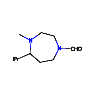 CC(C)C1CCN(C=O)CCN1C